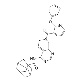 O=C(c1cccnc1Oc1ccccc1)N1CC=C2C(NC(=O)C34CC5CC(CC(C5)C3)C4)=NC=NC2C1